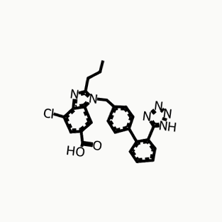 CCCc1nc2c(Cl)cc(C(=O)O)cc2n1Cc1ccc(-c2ccccc2-c2nnn[nH]2)cc1